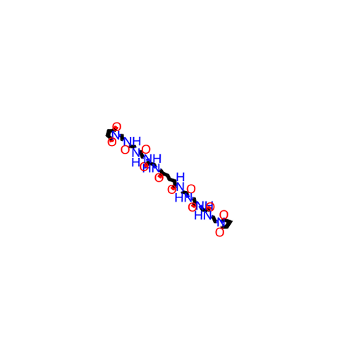 O=C(CCCC(=O)NCC(=O)NCC(=O)NCC(=O)NCCN1C(=O)C=CC1=O)CNCC(=O)NCC(=O)NCC(=O)NCCN1C(=O)C=CC1=O